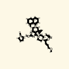 COC/C=C/C(=O)N1CCN(c2nc(OC[C@@H]3CCCN3C)nc3c2C2(CC2)CN(c2cccc4cccc(C)c24)C3)C[C@@H]1CC#N